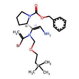 C=C(Br)N(COCC[Si](C)(C)C)/C(=C\N)[C@@H]1CCCN1C(=O)OCc1ccccc1